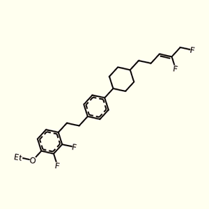 CCOc1ccc(CCc2ccc(C3CCC(CC/C=C(\F)CF)CC3)cc2)c(F)c1F